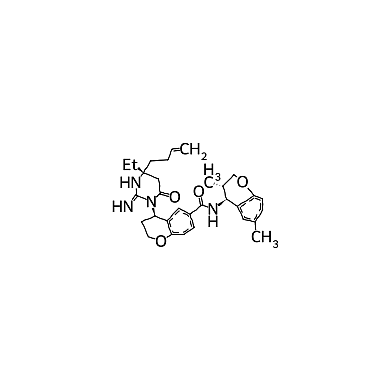 C=CCC[C@]1(CC)CC(=O)N([C@@H]2CCOc3ccc(C(=O)N[C@@H]4c5cc(C)ccc5OC[C@H]4C)cc32)C(=N)N1